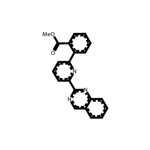 COC(=O)c1ccccc1-c1cccc(-c2ncc3ccccc3n2)n1